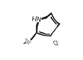 [Cl-].[Zn+][c]1ccc[nH]1